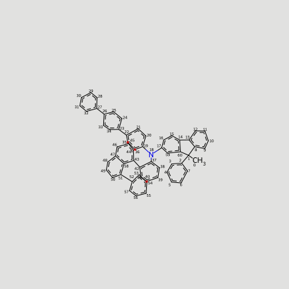 CC1(c2ccccc2)c2ccccc2-c2ccc(N(c3ccc(-c4ccc(-c5ccccc5)cc4)cc3)c3ccccc3-c3cccc4cccc(-c5ccccc5)c34)cc21